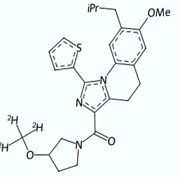 [2H]C([2H])([2H])OC1CCN(C(=O)c2nc(-c3cccs3)n3c2CCc2cc(OC)c(CC(C)C)cc2-3)C1